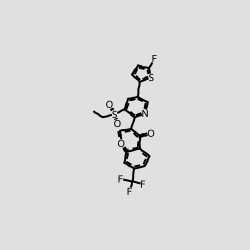 CCS(=O)(=O)c1cc(-c2ccc(F)s2)cnc1-c1coc2cc(C(F)(F)F)ccc2c1=O